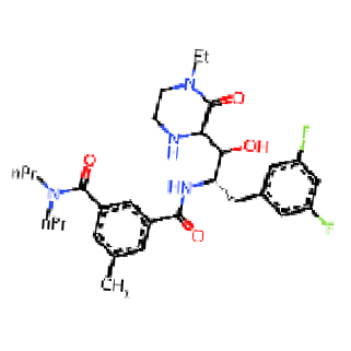 CCCN(CCC)C(=O)c1cc(C)cc(C(=O)N[C@@H](Cc2cc(F)cc(F)c2)[C@H](O)C2NCCN(CC)C2=O)c1